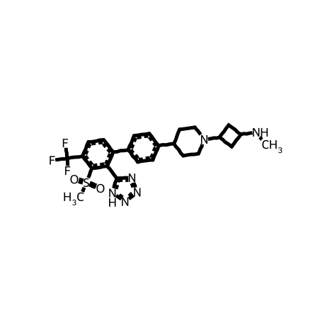 CNC1CC(N2CCC(c3ccc(-c4ccc(C(F)(F)F)c(S(C)(=O)=O)c4-c4nnn[nH]4)cc3)CC2)C1